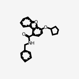 O=C(NCc1ccccc1)c1ccc(OC2CCCC2)c2oc3ccccc3c12